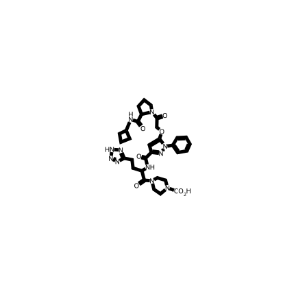 O=C(NC(CCc1nn[nH]n1)C(=O)N1CCN(C(=O)O)CC1)c1cc(OCC(=O)N2CCCC2C(=O)NC2CCC2)n(-c2ccccc2)n1